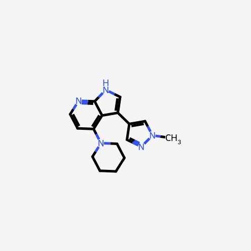 Cn1cc(-c2c[nH]c3nccc(N4CCCCC4)c23)cn1